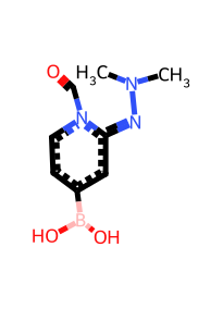 CN(C)/N=c1/cc(B(O)O)ccn1C=O